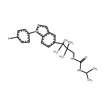 CC(C)NC(=O)NCC(C)(C)C(C)(C)c1ccc2c(cnn2-c2ccc(F)cc2)c1